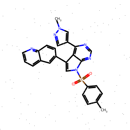 Cc1ccc(S(=O)(=O)n2cc(-c3ccc4ncccc4c3)c3c(-c4cnn(C)c4)ncnc32)cc1